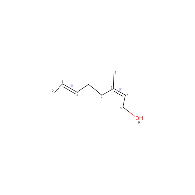 C/C=C/CC/C(C)=C\CO